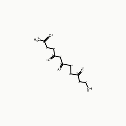 CC(=O)CCC(=O)CC(=O)CCC(=O)CCO